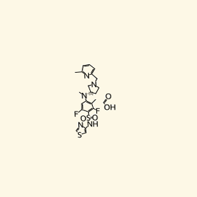 Cc1cccc(CN2CC[C@H](N(C)c3cc(F)c(S(=O)(=O)Nc4cscn4)c(F)c3C)C2)n1.O=CO